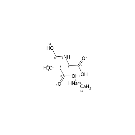 CCC(=O)O.O=C(O)CNCO.[CaH2].[NaH]